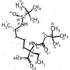 CC[C@@](CCC[C@H](C)N[S@@+]([O-])C(C)(C)C)(NC(=O)OC(C)(C)C)C(=O)O